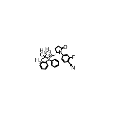 CC(C)(C)[Si](OC[C@@H]1CCC(=O)N1c1ccc(C#N)c(F)c1)(c1ccccc1)c1ccccc1